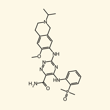 COc1cc2c(cc1Nc1nnc(C(N)=O)c(Nc3ccccc3P(C)(C)=O)n1)CN(C(C)C)CC2